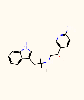 CC(C)(Cc1c[nH]c2ccccc12)NC[C@H](O)c1ccc(N)nc1